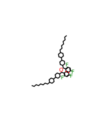 CCCCCCCCC1CCC(C2CCC(C(OC(c3ccc(F)cc3F)C3CCC(C4CCC(CCCCCCCC)CC4)CC3)c3ccc(F)cc3F)CC2)CC1